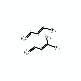 C=CC=C(C)C.C=CC=CC